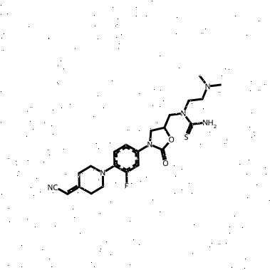 CN(C)CCN(CC1CN(c2ccc(N3CCC(=CC#N)CC3)c(F)c2)C(=O)O1)C(N)=S